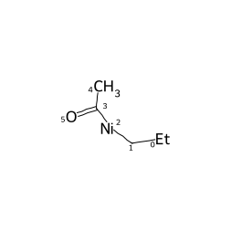 CC[CH2][Ni][C](C)=O